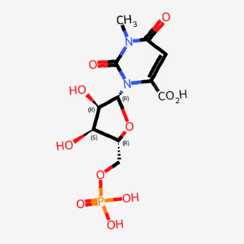 Cn1c(=O)cc(C(=O)O)n([C@@H]2O[C@H](COP(=O)(O)O)[C@@H](O)[C@H]2O)c1=O